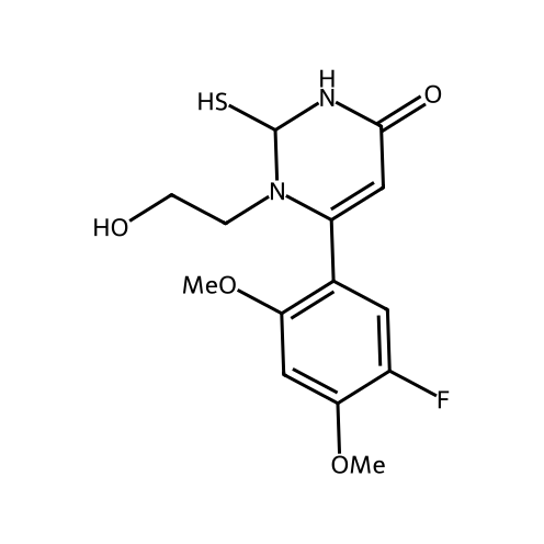 COc1cc(OC)c(C2=CC(=O)NC(S)N2CCO)cc1F